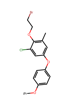 Cc1cc(Oc2ccc(OC(C)C)cc2)cc(Cl)c1OCCBr